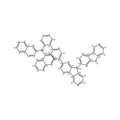 c1ccc(N(c2ccc3ccccc3c2)c2cccc3ccccc23)c(-c2ccc(-c3ccc4c5ccccc5n(-c5ccc6c(c5)sc5ccccc56)c4c3)cc2)c1